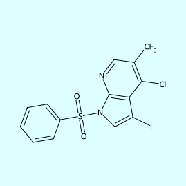 O=S(=O)(c1ccccc1)n1cc(I)c2c(Cl)c(C(F)(F)F)cnc21